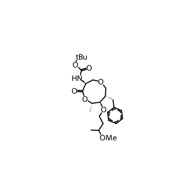 COC(C)CCO[C@@H]1[C@@H](Cc2ccccc2)COC[C@H](NC(=O)OC(C)(C)C)C(=O)O[C@H]1C